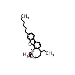 CCCCCCc1ccc2c(c1)oc1c3c(ccc12)C(CC)CCN1C=CN3[C@@H]1C